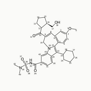 COc1ccc2c(c1)C=C(C(=O)C1CCC[C@H]1CO)Cn1c-2c(C2CCCCC2)c2ccc(C(=O)NS(=O)(=O)N(C)C)cc21